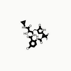 C[C@@H]1C[C@@H](C[C@H](NC(=O)c2cc(Cl)ccc2NC(=O)[C@H]2CC2(F)F)C(O)C(=O)NC2CC2)C(=O)N1